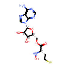 Nc1ncnc2c1ncn2[C@@H]1O[C@H](COC(=O)[C@H](CCS)NO)[C@@H](O)[C@H]1O